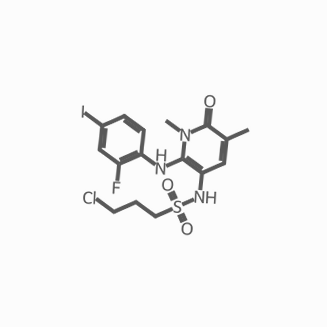 Cc1cc(NS(=O)(=O)CCCCl)c(Nc2ccc(I)cc2F)n(C)c1=O